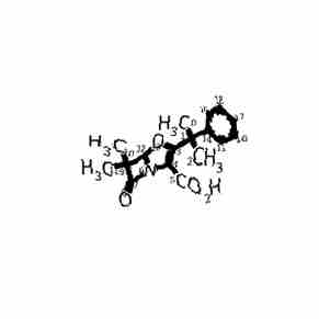 CC(C)(C1=C(C(=O)O)N2C(=O)C(C)(C)C2O1)c1ccccc1